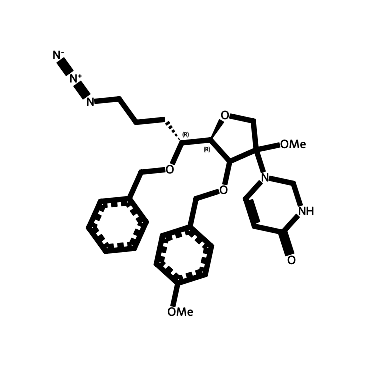 COc1ccc(COC2[C@@H]([C@@H](CCCN=[N+]=[N-])OCc3ccccc3)OCC2(OC)N2C=CC(=O)NC2)cc1